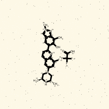 Cc1c(O)c(-c2ccc3cc(N4C[C@H](C)N[C@@H](C)C4)cc(F)c3n2)cc2cn(C)nc12.O=C(O)C(F)(F)F